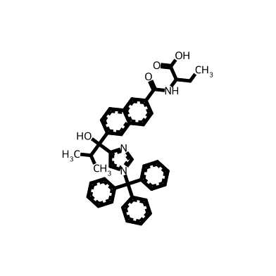 CCC(NC(=O)c1ccc2cc(C(O)(c3cn(C(c4ccccc4)(c4ccccc4)c4ccccc4)cn3)C(C)C)ccc2c1)C(=O)O